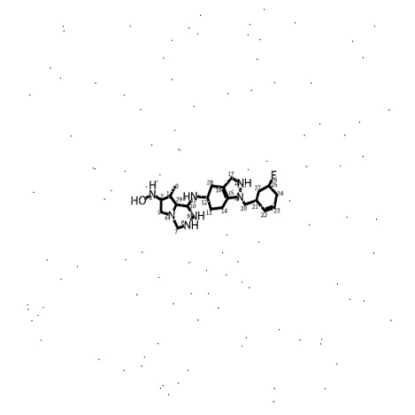 CC1C(NO)CN2CNNC(NC3CCC4=C(CNN4CC4C=CCC(F)C4)C3)C12